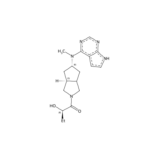 CC[C@@H](O)C(=O)N1CC2C[C@@H](N(C)c3ncnc4[nH]ccc34)C[C@@H]2C1